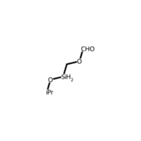 CC(C)O[SiH2]COC=O